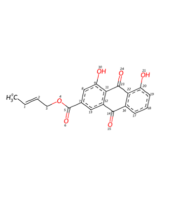 CC=CCOC(=O)c1cc(O)c2c(c1)C(=O)c1cccc(O)c1C2=O